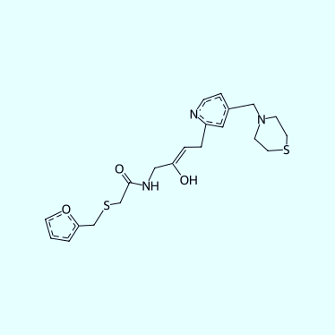 O=C(CSCc1ccco1)NCC(O)=CCc1cc(CN2CCSCC2)ccn1